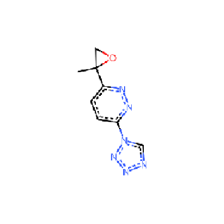 CC1(c2ccc(-n3cnnn3)nn2)CO1